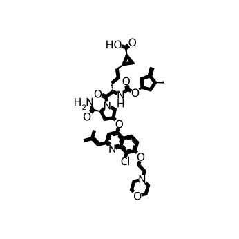 C=C1C[C@H](OC(=O)N[C@@H](CCC[C@@H]2C[C@@H]2C(=O)O)C(=O)N2CC(Oc3cc(C=C(C)C)nc4c(Cl)c(OCCN5CCOCC5)ccc34)C[C@H]2C(N)=O)C[C@@H]1C